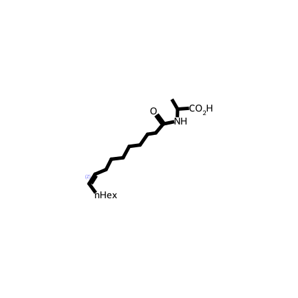 CCCCCC/C=C\CCCCCCCC(=O)NC(C)C(=O)O